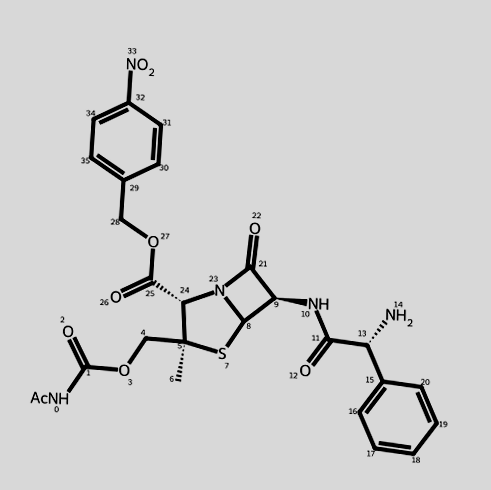 CC(=O)NC(=O)OC[C@]1(C)SC2[C@H](NC(=O)[C@H](N)c3ccccc3)C(=O)N2[C@H]1C(=O)OCc1ccc([N+](=O)[O-])cc1